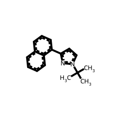 CC(C)(C)n1ccc(-c2cccc3ccccc23)n1